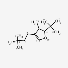 CC1C(CCC(C)(C)C)=NOC1C(C)(C)C